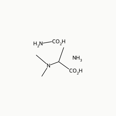 CC(C(=O)O)N(C)C.N.NC(=O)O